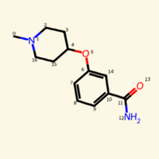 CN1CCC(Oc2cccc(C(N)=O)c2)CC1